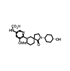 COc1cc(NC(=O)O)cnc1N1CCC[C@]2(CCN([C@H]3CC[C@@H](O)CC3)C2=O)C1